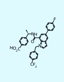 C[C@@H](NC(=O)c1cc(-c2ccc(F)cc2)cc2ccn(Cc3ccc(C(F)(F)F)cc3)c12)c1ccc(C(=O)O)cc1